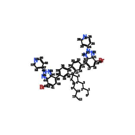 CCCCCCC1(CCCCCC)c2cc(-c3ccc(Br)c4nn(-c5ccncc5)nc34)ccc2-c2ccc(-c3ccc(Br)c4nn(-c5ccncc5)nc34)cc21